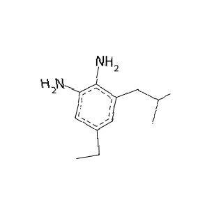 CCc1cc(N)c(N)c(CC(C)C)c1